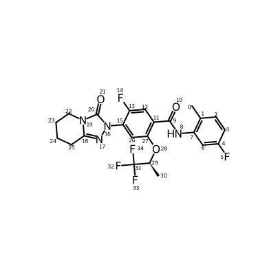 Cc1ccc(F)cc1NC(=O)c1cc(F)c(-n2nc3n(c2=O)CCCC3)cc1O[C@@H](C)C(F)(F)F